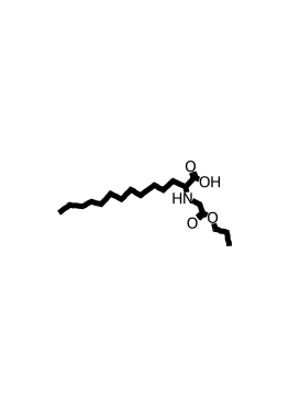 CCCCCCCCCCCCC(NCC(=O)OCCC)C(=O)O